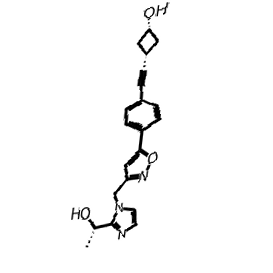 C[C@H](O)c1nccn1Cc1cc(-c2ccc(C#C[C@H]3C[C@@H](O)C3)cc2)on1